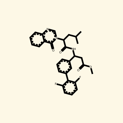 COC(=O)CC(NC(=O)C(CC(C)C)n1cnc2ccccc2c1=O)c1cccc(-c2c(F)cccc2F)c1